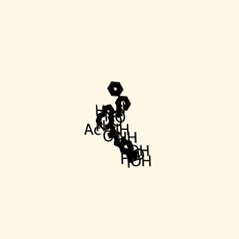 CC(=O)N1CC[C@H]2CC[C@@H](C(=O)N3CCC[C@@H](c4ccccc4)C3)N2C(=O)C(NC(=O)c2cc3cc(C(F)(F)P(=O)(O)O)ccc3[nH]2)C1